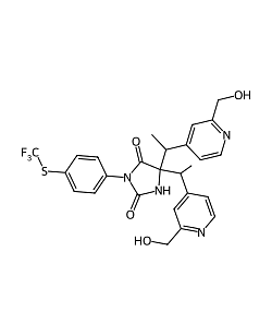 CC(c1ccnc(CO)c1)C1(C(C)c2ccnc(CO)c2)NC(=O)N(c2ccc(SC(F)(F)F)cc2)C1=O